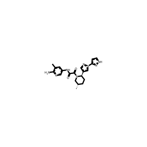 Cc1cc(NC(=O)C(=O)N2C[C@@H](C)CC[C@@H]2c2cnn(-c3cc[nH]n3)c2)cnc1N